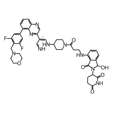 N=C/C(=C\NC1CCN(C(=O)CCNc2cccc3c2C(=O)N(C2CCC(=O)NC2=O)C3O)CC1)c1cnc2cccc(-c3cc(F)c(CN4CCOCC4)c(F)c3)c2n1